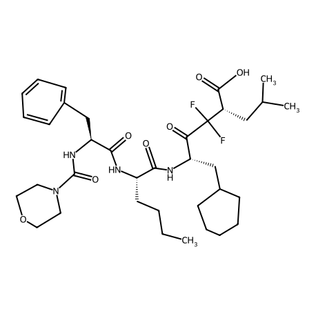 CCCC[C@H](NC(=O)[C@H](Cc1ccccc1)NC(=O)N1CCOCC1)C(=O)N[C@@H](CC1CCCCC1)C(=O)C(F)(F)[C@@H](CC(C)C)C(=O)O